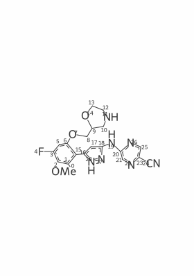 COc1cc(F)cc(OCC2CNCCO2)c1-c1cc(Nc2cnc(C#N)cn2)n[nH]1